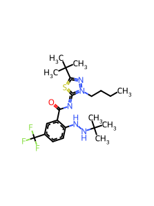 CCCCn1nc(C(C)(C)C)sc1=NC(=O)c1cc(C(F)(F)F)ccc1NNC(C)(C)C